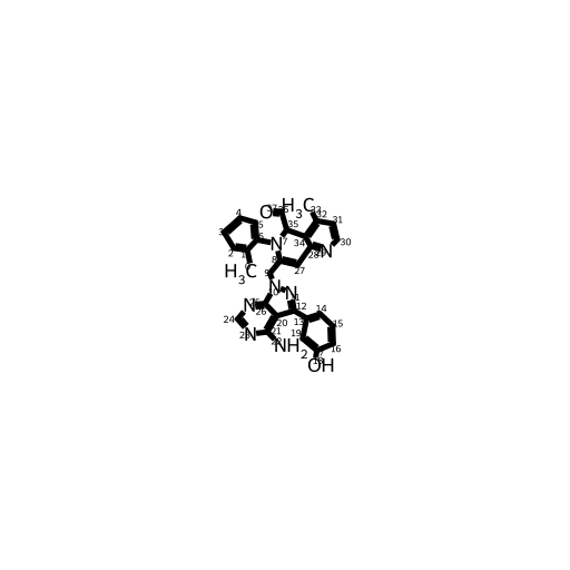 Cc1ccccc1N1C(Cn2nc(-c3cccc(O)c3)c3c(N)ncnc32)=Cc2nccc(C)c2C1C=O